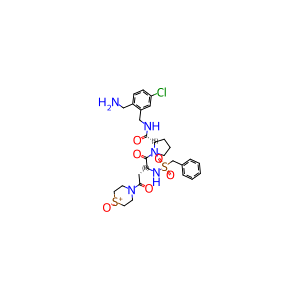 NCc1ccc(Cl)cc1CNC(=O)[C@@H]1CCCN1C(=O)[C@@H](CC(=O)N1CC[S+]([O-])CC1)NS(=O)(=O)Cc1ccccc1